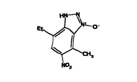 CCc1cc([N+](=O)[O-])c(C)c2c1[nH]n[n+]2[O-]